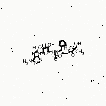 CC(C)(CO)C(=O)SCCO[P@](=O)(NCc1ccccc1)OC[C@H]1O[C@@H](n2cnc3c(N)ncnc32)[C@](C)(Cl)[C@@H]1O